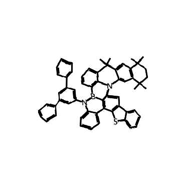 CC1(C)CCC(C)(C)c2cc3c(cc21)N1c2cc4c(sc5ccccc54)c4c2B(c2cccc(c21)C3(C)C)N(c1cc(-c2ccccc2)cc(-c2ccccc2)c1)c1ccccc1-4